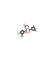 Cc1cc(C)cc(C(=O)N2CCC(=O)C[C@@H]2[C@@H](O)c2ccc(Cl)c(C(F)(F)F)c2)c1